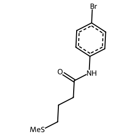 CSCCCC(=O)Nc1ccc(Br)cc1